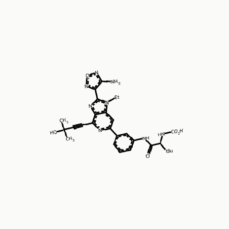 CCn1c(-c2nonc2N)nc2c(C#CC(C)(C)O)nc(-c3cccc(NC(=O)C(NC(=O)O)C(C)(C)C)c3)cc21